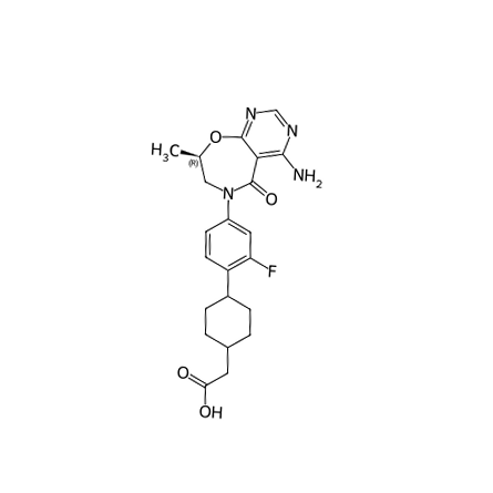 C[C@@H]1CN(c2ccc(C3CCC(CC(=O)O)CC3)c(F)c2)C(=O)c2c(N)ncnc2O1